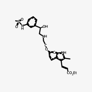 CCOC(=O)C=Cc1c(C)[nH]c2cc(OCCNC[C@H](O)c3cccc(NS(C)(=O)=O)c3)ccc12